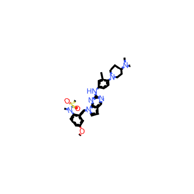 COc1ccc(N(C)S(C)(=O)=O)c(Cn2ccc3cnc(Nc4ccc(N5CCC(N(C)C)CC5)c(C)c4)nc32)c1